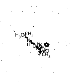 CN(C)CCNCCCOc1nnc2c(n1)c(=O)n(C)c(=O)n2C1CCCC1